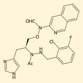 CC(=O)N(NCc1cccc(F)c1Cl)[C@H](CON(C=O)c1cc2ccccc2cn1)Cc1c[nH]cn1